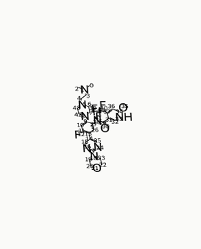 CN(C)CCN1CCN(c2cc(F)c(-c3cnc(N4CCOCC4)nc3)cc2NC(=O)c2c[nH]c(=O)cc2C(F)(F)F)CC1